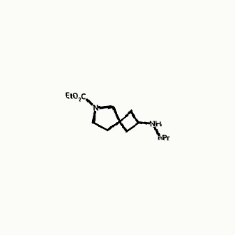 CCCNC1CC2(CCN(C(=O)OCC)C2)C1